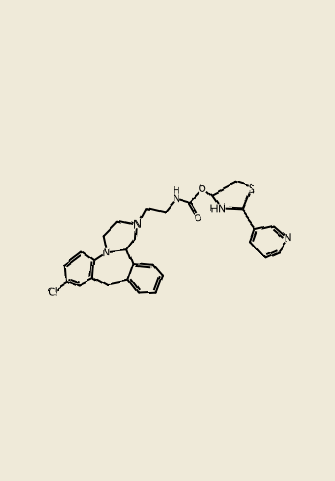 O=C(NCCN1CCN2c3ccc(Cl)cc3Cc3ccccc3C2C1)OC1CSC(c2cccnc2)N1